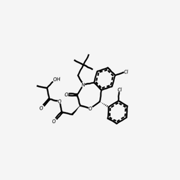 CC(O)C(=O)OC(=O)C[C@@H]1O[C@@H](c2ccccc2Cl)c2cc(Cl)ccc2N(CC(C)(C)C)C1=O